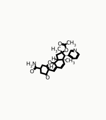 CC(=O)OC1(C)C[C@H]2[C@@H]3OC4=C(C=C3C=C[C@]2(C)[C@H]1c1cccnc1)C(=O)CC(C(N)=O)C4